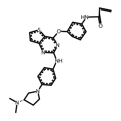 C=CC(=O)Nc1cccc(Oc2nc(Nc3ccc(N4CC[C@H](N(C)C)C4)cc3)nc3ccsc23)c1